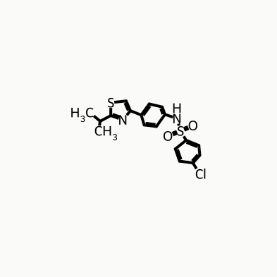 CC(C)c1nc(-c2ccc(NS(=O)(=O)c3ccc(Cl)cc3)cc2)cs1